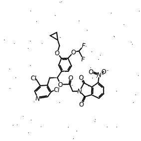 O=C(CN1C(=O)c2cccc([N+](=O)[O-])c2C1=O)O[C@@H](Cc1c(Cl)cncc1Cl)c1ccc(OC(F)F)c(OCC2CC2)c1